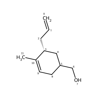 C=CC[C@@H]1CC(CO)CC=C1C